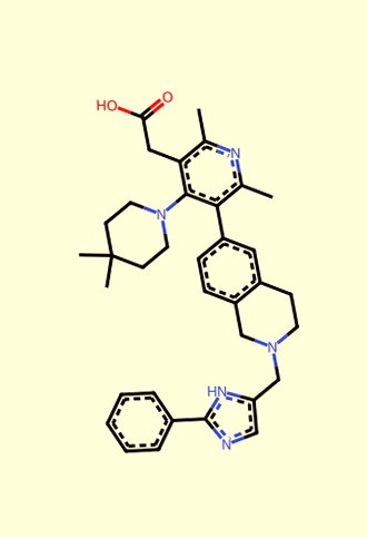 Cc1nc(C)c(-c2ccc3c(c2)CCN(Cc2cnc(-c4ccccc4)[nH]2)C3)c(N2CCC(C)(C)CC2)c1CC(=O)O